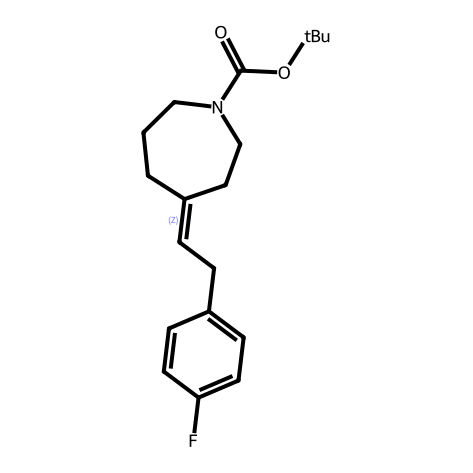 CC(C)(C)OC(=O)N1CCC/C(=C/Cc2ccc(F)cc2)CC1